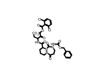 O=C(O)CC(NC(=O)C1CCCN2C(=O)CCN(NC(=O)OCc3ccccc3)C(=O)N12)C(=O)COC(=O)c1c(Cl)cccc1Cl